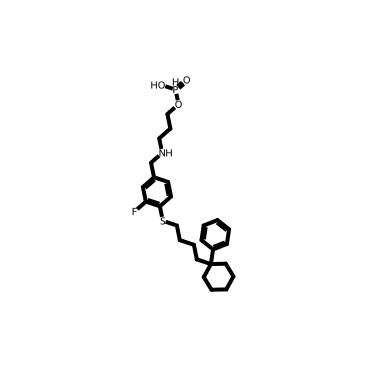 O=[PH](O)OCCCNCc1ccc(SCCCCC2(c3ccccc3)CCCCC2)c(F)c1